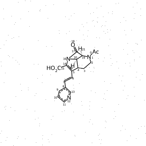 CC(=O)N1CCC2C(/C=C/c3cccnc3)=C(C(=O)O)N3C(=O)[C@@H]1[C@@H]23